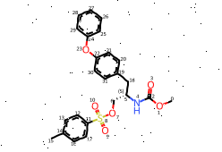 COC(=O)N[C@H](COS(=O)(=O)c1ccc(C)cc1)Cc1ccc(Oc2ccccc2)cc1